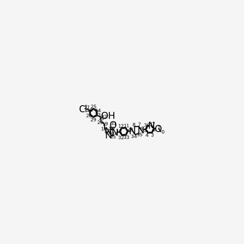 COc1ccc(N2CCN(c3ccc(-n4cnn(CCCC(O)c5ccc(Cl)cc5)c4=O)cc3)CC2)cn1